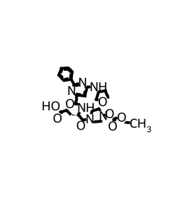 CCOC(=O)ON1CCN(C(=O)[C@H](CCC(=O)O)NC(=O)c2cc(N[C@@H]3CCOC3)nc(-c3ccccc3)n2)CC1